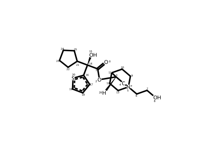 O=C(O[C@H]1C[N+]2(CCO)CCC1CC2)[C@](O)(c1cccs1)C1CCCC1